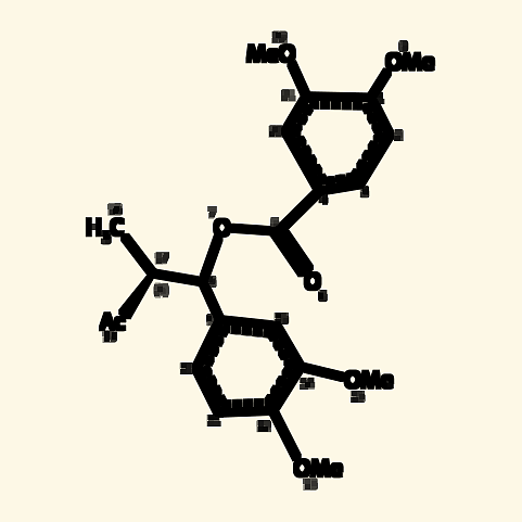 COc1ccc(C(=O)OC(c2ccc(OC)c(OC)c2)[C@H](C)C(C)=O)cc1OC